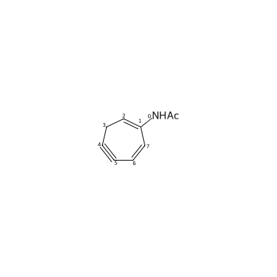 CC(=O)NC1=CCC#CC=C1